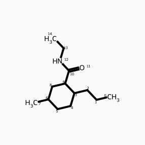 CCCC1CCC(C)CC1C(=O)NCC